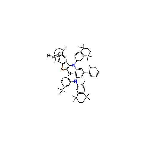 Cc1ccccc1-c1cc2c3c(c1)N(c1ccc4c(c1)C(C)(C)CCC4(C)C)c1c(sc4cc5c(cc14)C1(C)CCC(C)[C@@H]5CC1)B3c1ccc(C(C)(C)C)cc1N2c1cc2c(cc1C)C(C)(C)CCC2(C)C